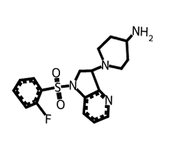 NC1CCN(C2CN(S(=O)(=O)c3ccccc3F)c3cccnc32)CC1